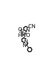 CS(=O)(=O)c1ccc(C#N)nc1C(=O)Nc1ccc2nc(-c3ccccc3)cn2c1